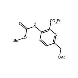 CCOC(=O)c1nc(COC(C)=O)ccc1NC(=O)OC(C)(C)C